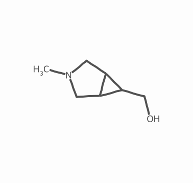 CN1CC2C(CO)C2C1